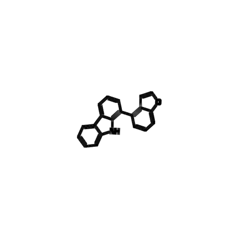 c1ccc2c(c1)[nH]c1c(-c3cccc4occc34)cccc12